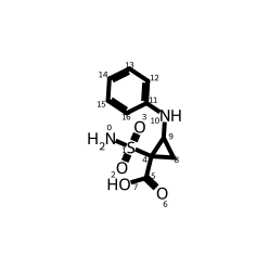 NS(=O)(=O)C1(C(=O)O)CC1Nc1ccccc1